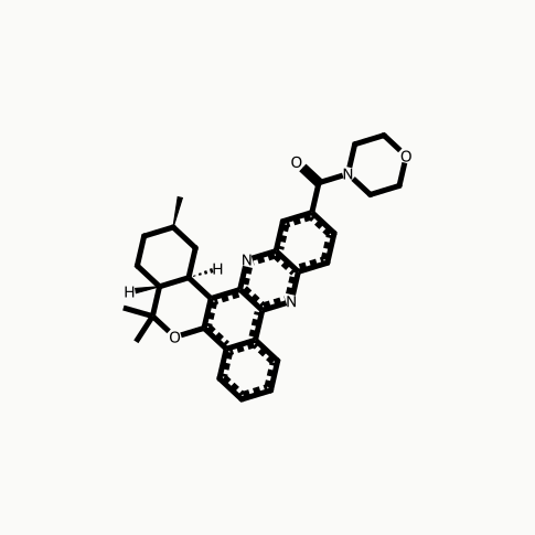 C[C@@H]1CC[C@@H]2[C@@H](C1)c1c(c3ccccc3c3nc4ccc(C(=O)N5CCOCC5)cc4nc13)OC2(C)C